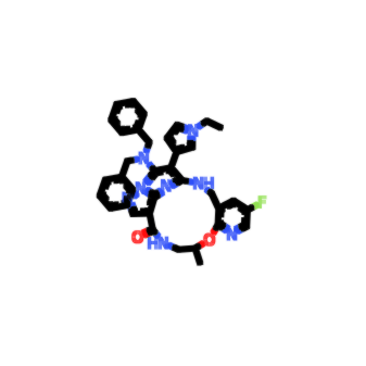 CCn1ccc(-c2c3nc4c(cnn4c2N(Cc2ccccc2)Cc2ccccc2)C(=O)NCC(C)Oc2ncc(F)cc2CN3)c1